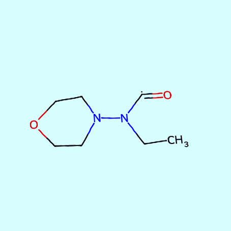 CCN([C]=O)N1CCOCC1